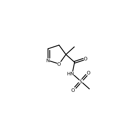 CC1(C(=O)NS(C)(=O)=O)CC=NO1